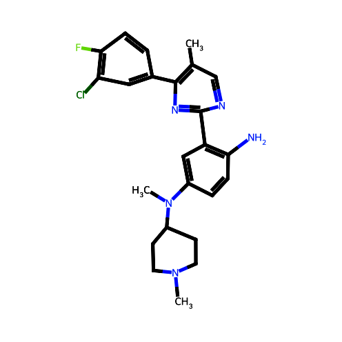 Cc1cnc(-c2cc(N(C)C3CCN(C)CC3)ccc2N)nc1-c1ccc(F)c(Cl)c1